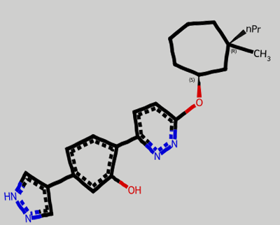 CCC[C@]1(C)CCCC[C@H](Oc2ccc(-c3ccc(-c4cn[nH]c4)cc3O)nn2)C1